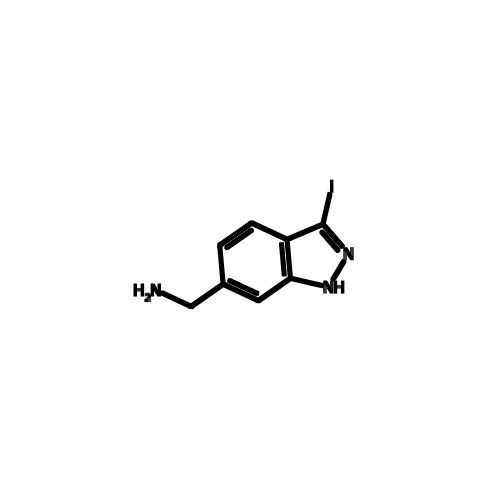 NCc1ccc2c(I)n[nH]c2c1